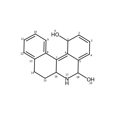 OC1C=CC=C2C1=C1c3ccccc3CCC1NC2O